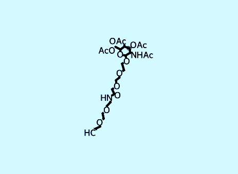 C#CCOCCOCCNC(=O)COCCOCCOC1OC(COC(C)=O)C(OC(C)=O)[C@H](OC(C)=O)C1NC(C)=O